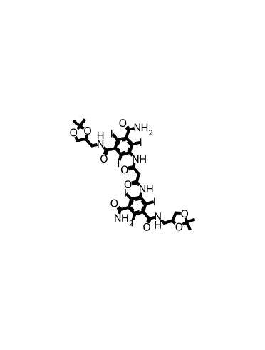 CC1(C)OCC(CNC(=O)c2c(I)c(NC(=O)CC(=O)Nc3c(I)c(C(N)=O)c(I)c(C(=O)NCC4COC(C)(C)O4)c3I)c(I)c(C(N)=O)c2I)O1